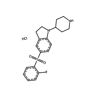 Cl.O=S(=O)(c1ccc2c(c1)CCN2C1CCNCC1)c1ccccc1F